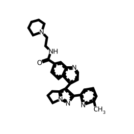 Cc1cccc(-c2nn3c(c2-c2ccnc4cc(C(=O)NCCN5CCCCC5)ccc24)CCC3)n1